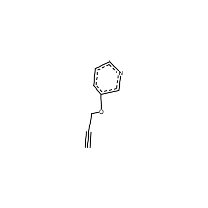 C#CCOc1cc[c]nc1